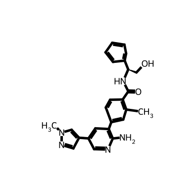 Cc1cc(-c2cc(-c3cnn(C)c3)cnc2N)ccc1C(=O)N[C@H](CO)c1ccccc1